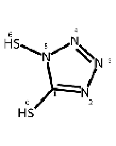 Sc1nnnn1S